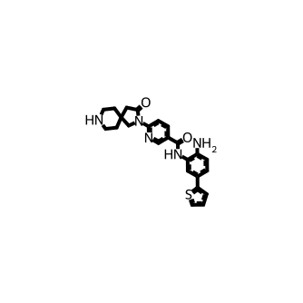 Nc1ccc(-c2cccs2)cc1NC(=O)c1ccc(N2CC3(CCNCC3)CC2=O)nc1